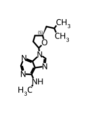 CNc1ncnc2c1ncn2C1CC[C@@H](CC(C)C)O1